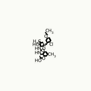 CCCOc1ccc(Cl)c(Cn2cc(C)c(O)c(NC(=O)N[C@@H](CC(=O)O)c3ccc(C)cc3)c2=O)c1